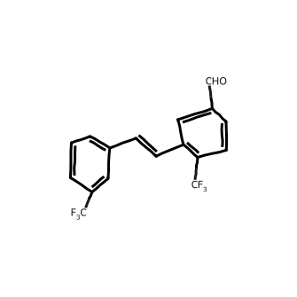 O=Cc1ccc(C(F)(F)F)c(/C=C/c2cccc(C(F)(F)F)c2)c1